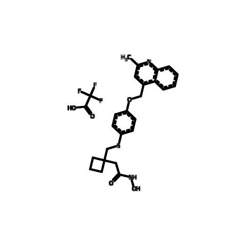 Cc1cc(COc2ccc(SCC3(CC(=O)NO)CCC3)cc2)c2ccccc2n1.O=C(O)C(F)(F)F